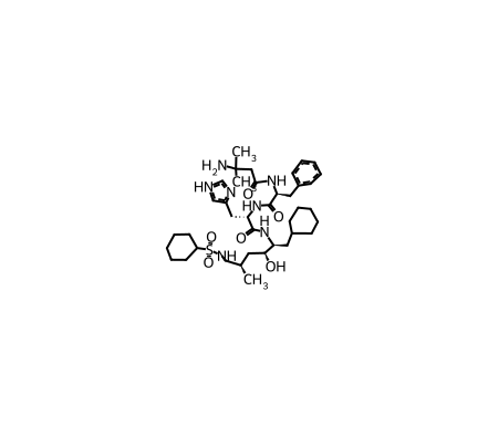 C[C@@H](CNS(=O)(=O)C1CCCCC1)C[C@H](O)[C@H](CC1CCCCC1)NC(=O)[C@H](Cc1c[nH]cn1)NC(=O)[C@H](Cc1ccccc1)NC(=O)CC(C)(C)N